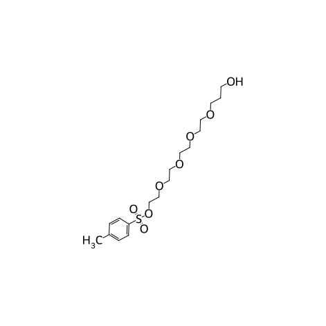 Cc1ccc(S(=O)(=O)OCCOCCOCCOCCOCCCO)cc1